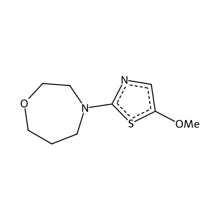 COc1cnc(N2CCCOCC2)s1